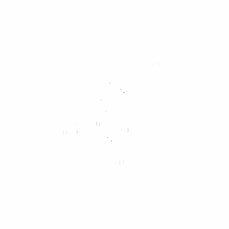 C=CCN1CC(C)N(C(c2ccc(C(=O)NCCCCCO)cc2)c2cccc(O)c2)CC1C